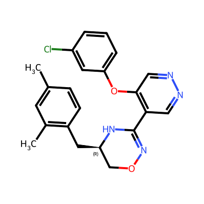 Cc1ccc(C[C@@H]2CON=C(c3cnncc3Oc3cccc(Cl)c3)N2)c(C)c1